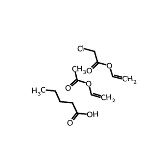 C=COC(=O)CCl.C=COC(C)=O.CCCCC(=O)O